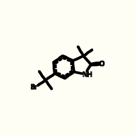 CC(C)(Br)c1ccc2c(c1)NC(=O)C2(C)C